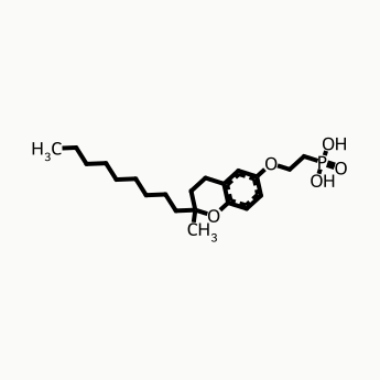 CCCCCCCCCC1(C)CCc2cc(OCCP(=O)(O)O)ccc2O1